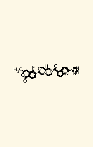 C[C@H]1Cc2c(ccc([C@H]3CN4CCN(C(=O)C5CCc6nc(-n7cnnn7)ccc65)C[C@@H]4CO3)c2F)C(=O)O1